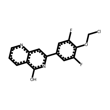 Oc1nc(-c2cc(F)c(OCCl)c(F)c2)cc2ncccc12